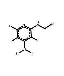 CCN(CC)c1c(F)c(F)nc(NCC(C)C)c1F